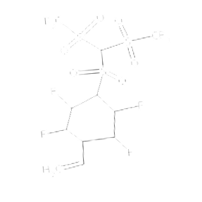 C=CC1C(F)C(F)C(S(=O)(=O)C(S(=O)(=O)C(F)(F)F)S(=O)(=O)C(F)(F)F)C(F)C1F